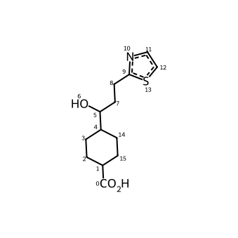 O=C(O)C1CCC(C(O)CCc2nccs2)CC1